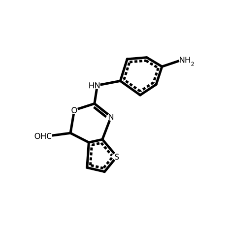 Nc1ccc(NC2=Nc3sccc3C(C=O)O2)cc1